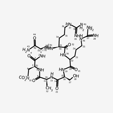 CC[C@H](C)[C@H](NC(=O)[C@H](CC(=O)O)NC(=O)[C@H](C)NC(=O)[C@H](CO)NC(=O)C(CCCNC(=N)N)NC(=O)[C@H](CCCNC(=N)N)NC)C(N)=O